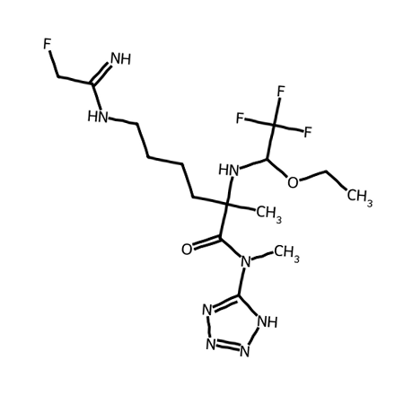 CCOC(NC(C)(CCCCNC(=N)CF)C(=O)N(C)c1nnn[nH]1)C(F)(F)F